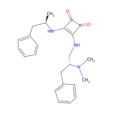 C[C@H](Cc1ccccc1)Nc1c(NC[C@@H](Cc2ccccc2)N(C)C)c(=O)c1=O